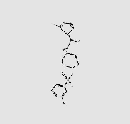 Cc1cccc(S(=O)(=O)C[C@H]2CC[C@H](NC(=O)c3ccnc(Cl)c3)CC2)c1